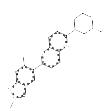 C[C@H]1CC(c2ccc3nc(-c4cc5cn(C)nc5cc4O)ccc3n2)C[C@H](C)N1